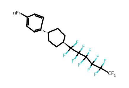 CCCc1ccc([C@H]2CC[C@H](C(F)(F)C(F)(F)C(F)(F)C(F)(F)C(F)(F)C(F)(F)F)CC2)cc1